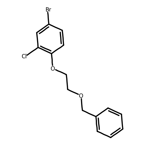 Clc1cc(Br)ccc1OCCOCc1ccccc1